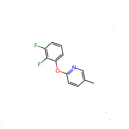 Cc1ccc(Oc2cccc(F)c2F)nc1